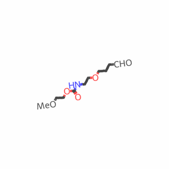 COCCOC(=O)NCCOCCCC=O